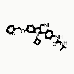 CC(C)NC(=O)Nc1ccc(-c2c(C=N)c3ccc(OCc4ccccn4)cc3n2C2CCC2)cc1